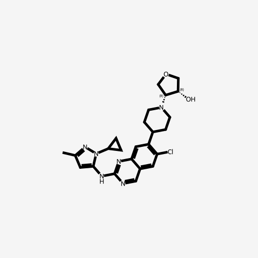 Cc1cc(Nc2ncc3cc(Cl)c(C4CCN([C@@H]5COC[C@@H]5O)CC4)cc3n2)n(C2CC2)n1